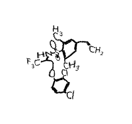 C=Cc1cc(C)c(S(=O)(=O)NC(COc2ccc(Cl)cc2Cl)C(F)(F)F)c(C)c1